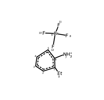 CCc1ccccc1[NH3+].F[B-](F)(F)F